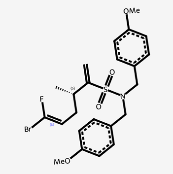 C=C([C@@H](C)C/C=C(\F)Br)S(=O)(=O)N(Cc1ccc(OC)cc1)Cc1ccc(OC)cc1